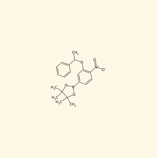 CC(Oc1cc(B2OC(C)(C)C(C)(C)O2)ccc1[N+](=O)[O-])c1ccccc1